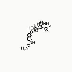 Cn1ccc(-c2cn([C@@H]3O[C@H](COc4ccc5ccc(N[C@H]6C[C@H](N)C6)nc5c4)[C@@H](O)[C@@H]3F)c3ncnc(N)c23)n1